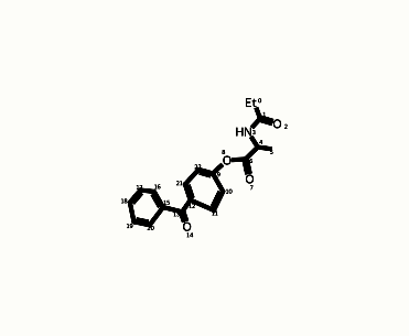 CCC(=O)NC(C)C(=O)Oc1ccc(C(=O)c2ccccc2)cc1